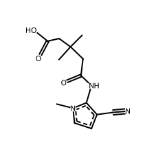 Cn1ccc(C#N)c1NC(=O)CC(C)(C)CC(=O)O